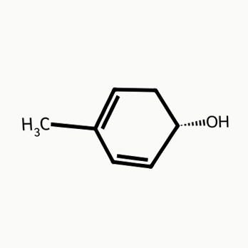 CC1=CC[C@H](O)C=C1